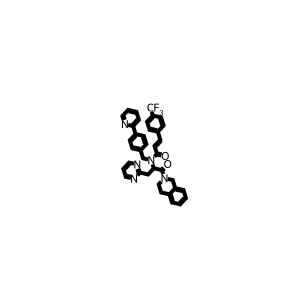 O=C(C(Cc1ncccn1)N(Cc1ccc(-c2ccccn2)cc1)C(=O)C=Cc1ccc(C(F)(F)F)cc1)N1CCc2ccccc2C1